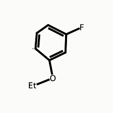 CCOc1[c]ccc(F)c1